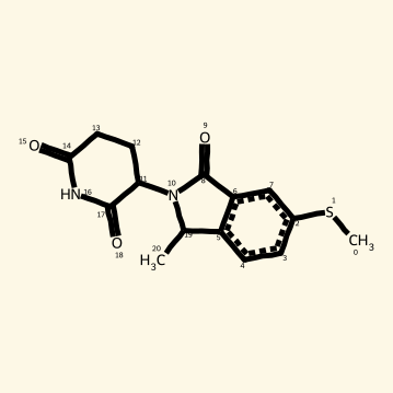 CSc1ccc2c(c1)C(=O)N(C1CCC(=O)NC1=O)C2C